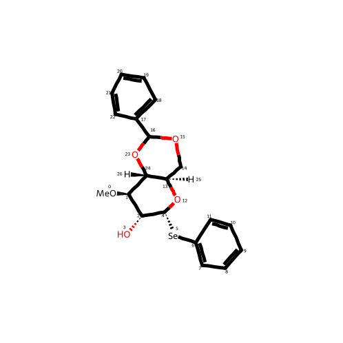 CO[C@@H]1[C@@H](O)[C@@H]([Se]c2ccccc2)O[C@@H]2COC(c3ccccc3)O[C@@H]12